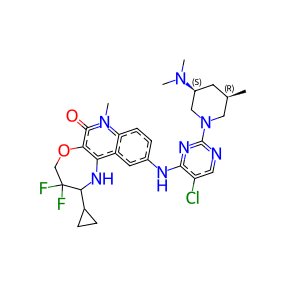 C[C@@H]1C[C@H](N(C)C)CN(c2ncc(Cl)c(Nc3ccc4c(c3)c3c(c(=O)n4C)OCC(F)(F)C(C4CC4)N3)n2)C1